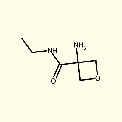 CCNC(=O)C1(N)COC1